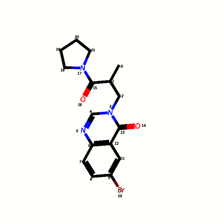 CC(Cn1cnc2ccc(Br)cc2c1=O)C(=O)N1CCCC1